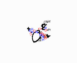 COc1ccc2c(O[C@@H]3C[C@H]4C(=O)N[C@]5(C(=O)NS(=O)(=O)C6(C)CC6)C[C@H]5/C=C\CCCCC[C@H](NC(=O)N5CC(C)(C)C5)C(=O)N4C3)cc(OC(C)C)nc2c1C